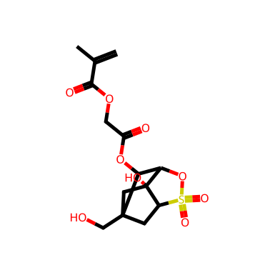 C=C(C)C(=O)OCC(=O)OC1C2OS(=O)(=O)C3CC1(CO)CC23O